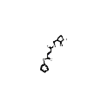 O=C(/C=C/C(=O)Oc1ccccc1)OCC1CCNC1=O